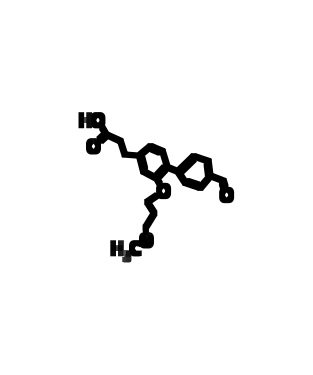 COCCCOc1cc(CCC(=O)O)ccc1-c1ccc(C=O)cc1